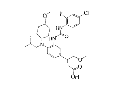 COCC(CC(=O)O)c1ccc(N(CC(C)C)C2CCC(OC)CC2)c(NC(=O)Nc2ccc(Cl)cc2F)c1